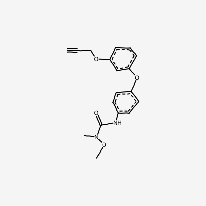 C#CCOc1cccc(Oc2ccc(NC(=O)N(C)OC)cc2)c1